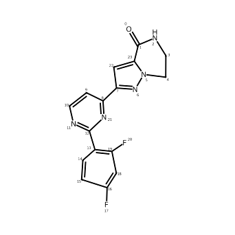 O=C1NCCn2nc(-c3ccnc(-c4ccc(F)cc4F)n3)cc21